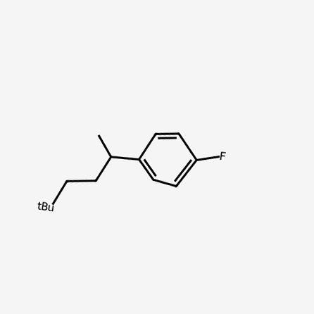 CC(CCC(C)(C)C)c1ccc(F)cc1